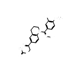 COc1ccc(C(=NC(C)C)N2CCCc3cc(C4=NNC(=O)SC4)ccc32)cc1Cl